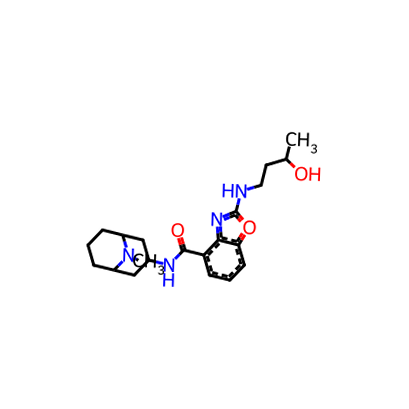 CC(O)CCNc1nc2c(C(=O)NC3CC4CCCC(C3)N4C)cccc2o1